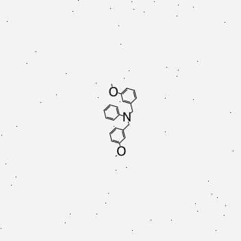 COc1cccc(CN(Cc2cccc(OC)c2)c2ccccc2)c1